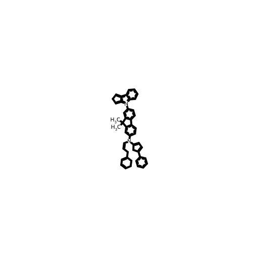 CC1(C)c2cc(N(/C=C\CC3=CC=CCC3)C3=CC=C(c4ccccc4)C3)ccc2-c2ccc(-n3c4c(c5ccccc53)=CCC=4)cc21